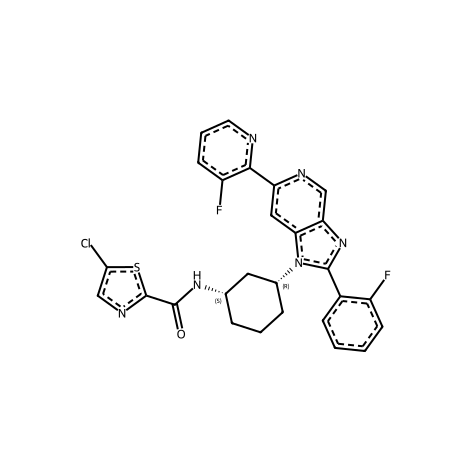 O=C(N[C@H]1CCC[C@@H](n2c(-c3ccccc3F)nc3cnc(-c4ncccc4F)cc32)C1)c1ncc(Cl)s1